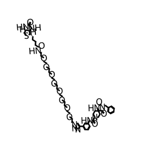 O=C(CCCC[C@@H]1SC[C@@H]2NC(=O)N[C@@H]21)NCCOCCOCCOCCOCCOCCOCCOCCOCCn1cc(-c2cccc(NC(=O)N3CCC4(CC3)NC(=O)N(Cc3ccccc3)C4=O)c2)nn1